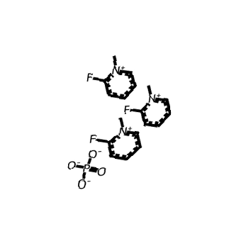 C[n+]1ccccc1F.C[n+]1ccccc1F.C[n+]1ccccc1F.O=P([O-])([O-])[O-]